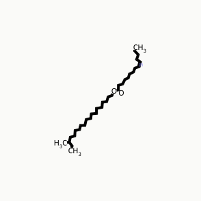 CCCC/C=C\CCCCCCCC(=O)OCCCCCCCCCCCCCCCCC(C)CC